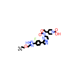 C[Si](C)(C)CCOCc1nc(-c2ccc(-c3cnn4ccc(N5C(=O)OCC5C5CCN(C(=O)O)CC5)nc34)cc2F)n[nH]1